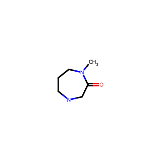 CN1CCC[N]CC1=O